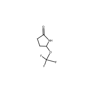 O=C1[CH]CC(OC(F)(F)F)N1